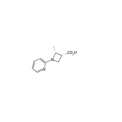 C[C@@H]1[C@H](C(=O)O)CN1c1ccccn1